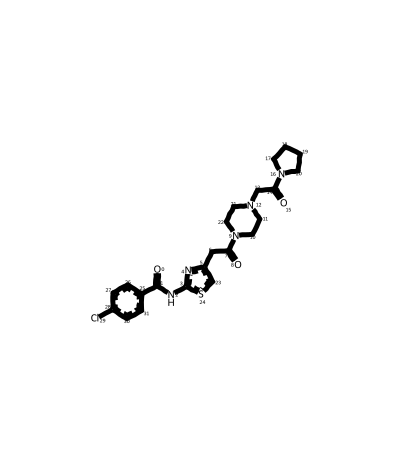 O=C(Nc1nc(CC(=O)N2CCN(CC(=O)N3CCCC3)CC2)cs1)c1ccc(Cl)cc1